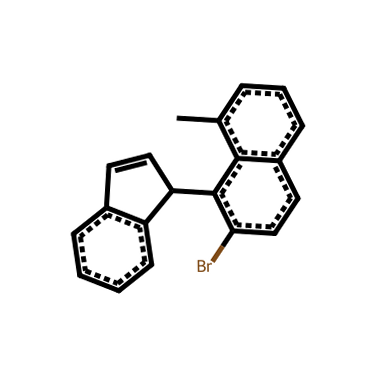 Cc1cccc2ccc(Br)c(C3C=Cc4ccccc43)c12